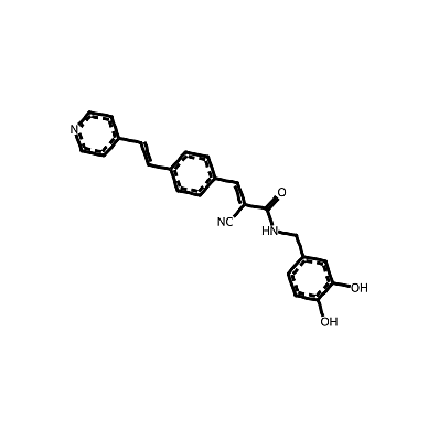 N#C/C(=C\c1ccc(/C=C/c2ccncc2)cc1)C(=O)NCc1ccc(O)c(O)c1